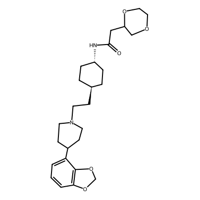 O=C(CC1COCCO1)N[C@H]1CC[C@H](CCN2CCC(c3cccc4c3OCO4)CC2)CC1